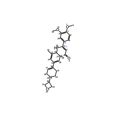 COc1ccc(/C(=C/C=O)PC2C(C)=CC(C3=CCN(C4COC4)CC3)=CN2C)cc1OC